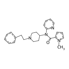 Cn1cccc1C(=O)N(c1ccccn1)C1CCN(CCc2ccccc2)CC1